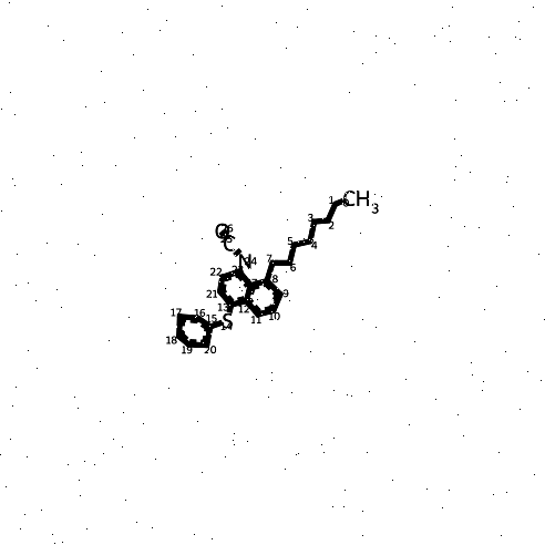 CCCCCCCCc1cccc2c(Sc3ccccc3)ccc(N=C=O)c12